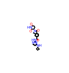 O=C1CCC(N2Cc3cc(C(=O)Nc4nccc(NC5CCC5)n4)ccc3C2=O)C(=O)N1